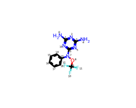 Nc1nc(N)nc(N(OC(F)(F)F)c2ccccc2)n1